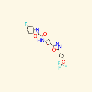 O=C(NC12CC(c3nnc([C@H]4C[C@@H](OC(F)(F)F)C4)o3)(C1)C2)c1nc2cc(F)ccc2o1